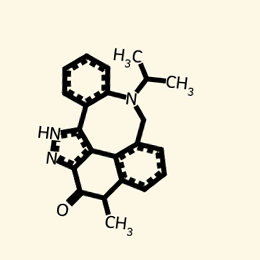 CC1C(=O)c2n[nH]c3c2-c2c(cccc21)CN(C(C)C)c1ccccc1-3